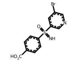 N=S(=O)(c1ccc(C(=O)O)cc1)c1cncc(Br)c1